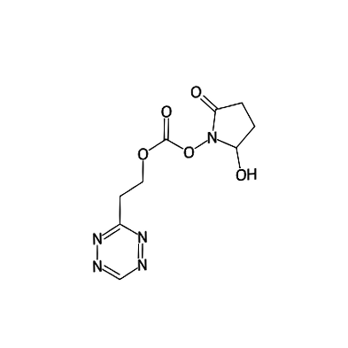 O=C(OCCc1nncnn1)ON1C(=O)CCC1O